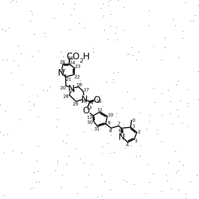 Cc1cccnc1CCc1ccc(OC(=O)N2CCN(Cc3ccc(C(=O)O)cn3)CC2)cc1